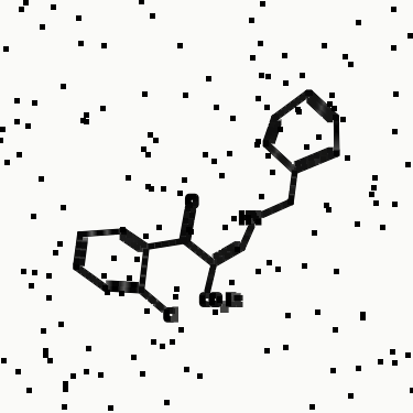 CCOC(=O)C(=CNCc1ccccc1)C(=O)c1ccccc1Cl